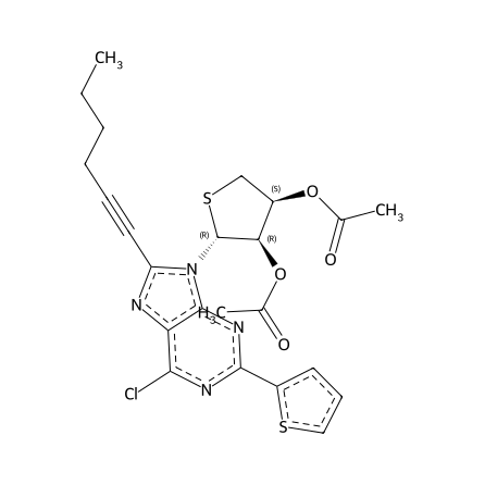 CCCCC#Cc1nc2c(Cl)nc(-c3cccs3)nc2n1[C@@H]1SC[C@@H](OC(C)=O)[C@H]1OC(C)=O